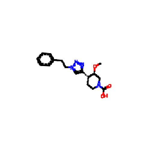 CO[C@H]1CN(C(=O)O)CC[C@@H]1c1cn(CCc2ccccc2)nn1